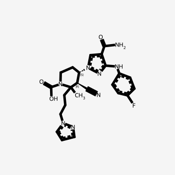 CC1(CCCn2cccn2)[C@H](C#N)[C@@H](n2cc(C(N)=O)c(Nc3ccc(F)cc3)n2)CCN1C(=O)O